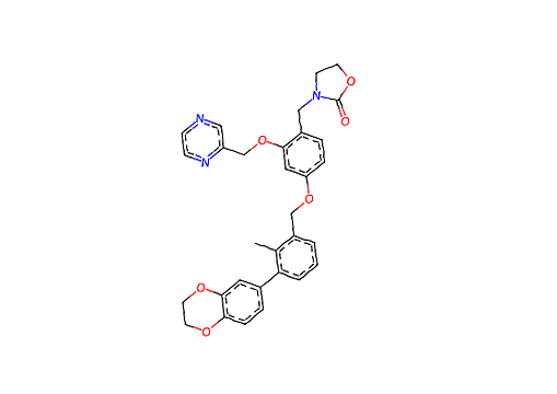 Cc1c(COc2ccc(CN3CCOC3=O)c(OCc3cnccn3)c2)cccc1-c1ccc2c(c1)OCCO2